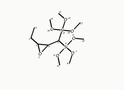 CCC1OC1C([Si](OC)(OC)OC)[Si](OC)(OC)OC